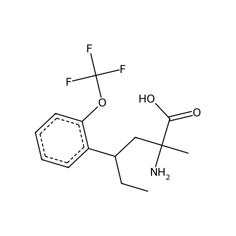 CCC(CC(C)(N)C(=O)O)c1ccccc1OC(F)(F)F